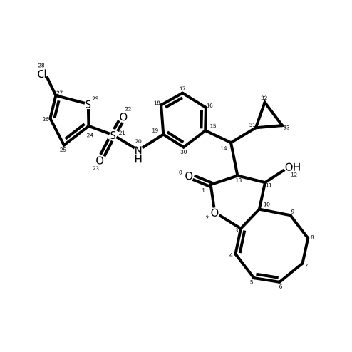 O=C1OC2=CC=CCCCC2C(O)C1C(c1cccc(NS(=O)(=O)c2ccc(Cl)s2)c1)C1CC1